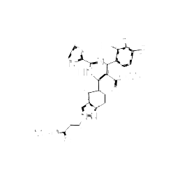 COC(=O)CCn1cc2c(n1)CCC(C1=C(C(=O)OC)C(c3ccc(F)c(F)c3Br)N=C(c3nccs3)N1)C2